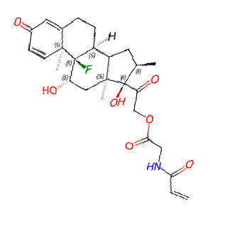 C=CC(=O)NCC(=O)OCC(=O)[C@@]1(O)[C@H](C)CC2[C@@H]3CCC4=CC(=O)C=C[C@]4(C)[C@@]3(F)[C@@H](O)C[C@@]21C